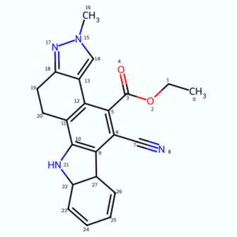 CCOC(=O)c1c(C#N)c2c(c3c1-c1cn(C)nc1CC3)NC1C=CC=CC21